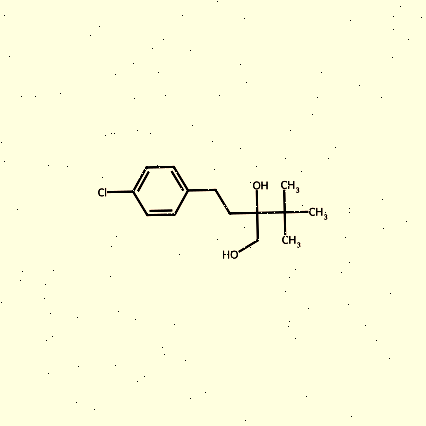 CC(C)(C)C(O)(CO)CCc1ccc(Cl)cc1